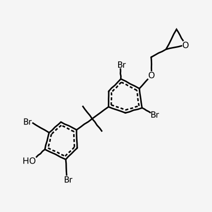 CC(C)(c1cc(Br)c(O)c(Br)c1)c1cc(Br)c(OCC2CO2)c(Br)c1